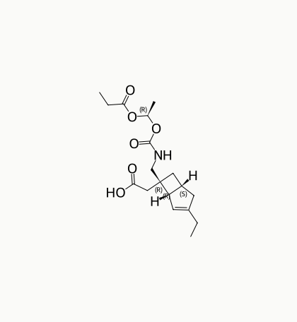 CCC(=O)O[C@@H](C)OC(=O)NC[C@@]1(CC(=O)O)C[C@@H]2CC(CC)=C[C@@H]21